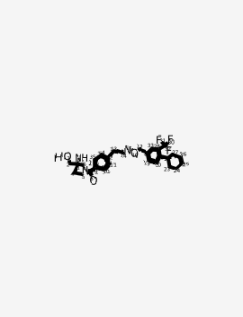 N[C@@]1(CO)CCN(C(=O)c2ccc(CC=NOCc3ccc(C4CCCCC4)c(C(F)(F)F)c3)cc2)C1